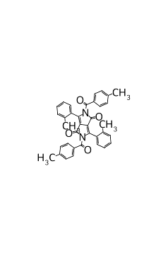 Cc1ccc(C(=O)N2C(=O)C3=C(c4ccccc4C)N(C(=O)c4ccc(C)cc4)C(=O)C3=C2c2ccccc2C)cc1